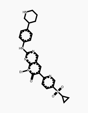 CCn1c(=O)c(-c2ccc(S(=O)(=O)C3CC3)cn2)cc2cnc(Nc3ccc(C4CCCNC4)cc3)nc21